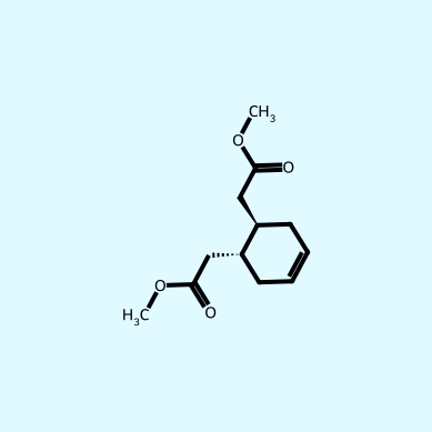 COC(=O)C[C@H]1CC=CC[C@@H]1CC(=O)OC